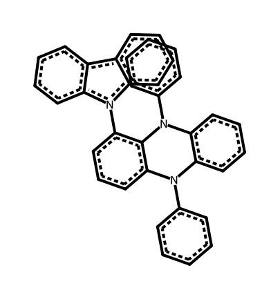 c1ccc(N2c3ccccc3N(c3ccccc3)c3c2cccc3-n2c3ccccc3c3ccccc32)cc1